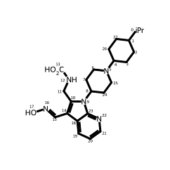 CC(C)C1CCC(N2CCC(n3c(CNC(=O)O)c(C=NO)c4cccnc43)CC2)CC1